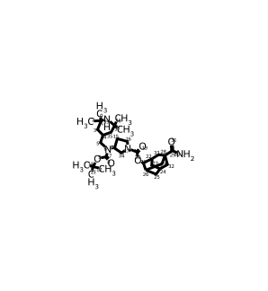 CC1(C)CC(CN(C(=O)OC(C)(C)C)[C@@H]2CCN(C(=O)OC3C4CC5CC3CC(C(N)=O)(C5)C4)C2)CC(C)(C)N1